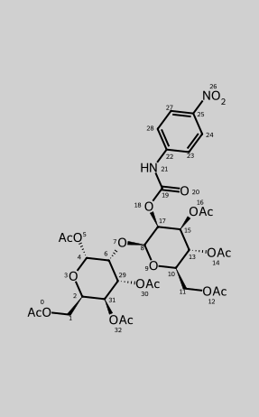 CC(=O)OC[C@H]1O[C@H](OC(C)=O)[C@H](O[C@@H]2O[C@H](COC(C)=O)[C@@H](OC(C)=O)[C@H](OC(C)=O)[C@@H]2OC(=O)Nc2ccc([N+](=O)[O-])cc2)[C@H](OC(C)=O)[C@H]1OC(C)=O